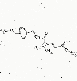 COCc1ccc(COC(=O)C2C(C=CC(=O)OC)C2(C)C)cc1